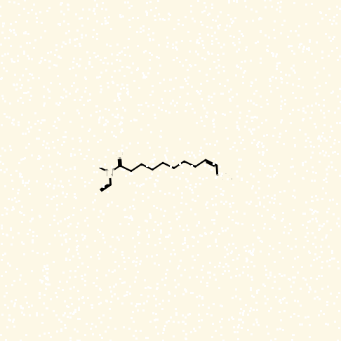 C=CN(C)C(=O)CCCCCCC/C=C\CCCCCCCC